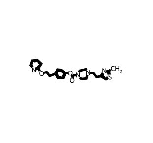 Cc1nc(CCN2CCN(C(=O)Oc3ccc(CCOc4ccccn4)cc3)CC2)cs1